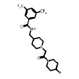 O=C(NCC1CCN(CC(=O)N2CCC(F)CC2)CC1)c1cc(C(F)(F)F)cc(C(F)(F)F)c1